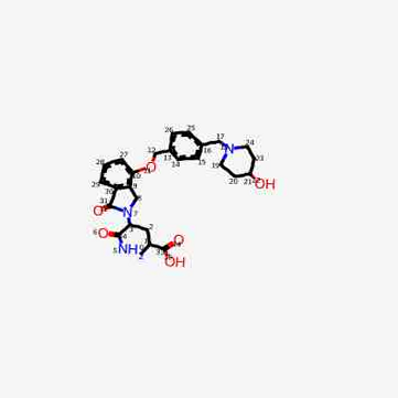 CC(CC(C(N)=O)N1Cc2c(OCc3ccc(CN4CCC(O)CC4)cc3)cccc2C1=O)C(=O)O